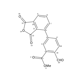 COC(=O)c1cc(-c2cccc3c2C(=O)OC3=O)ccc1C=O